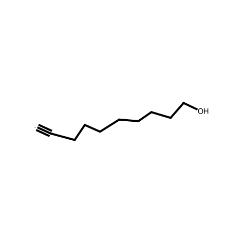 [C]#CCCCCCCCCO